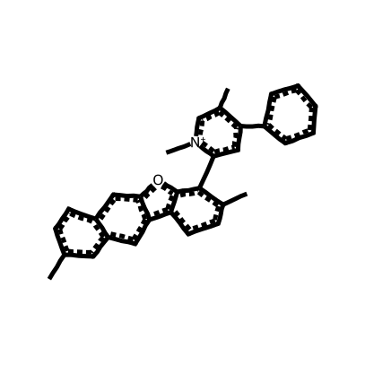 Cc1ccc2cc3oc4c(-c5cc(-c6ccccc6)c(C)c[n+]5C)c(C)ccc4c3cc2c1